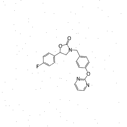 O=C1OC(c2ccc(F)cc2)CN1Cc1ccc(Oc2ncccn2)cc1